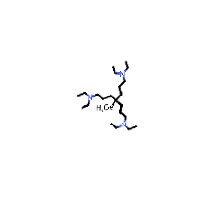 CCN(CC)CCC[C]([GeH3])(CCCN(CC)CC)CCCN(CC)CC